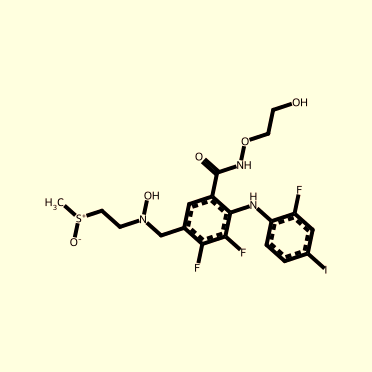 C[S+]([O-])CCN(O)Cc1cc(C(=O)NOCCO)c(Nc2ccc(I)cc2F)c(F)c1F